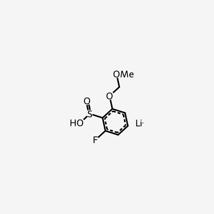 COCOc1cccc(F)c1S(=O)O.[Li]